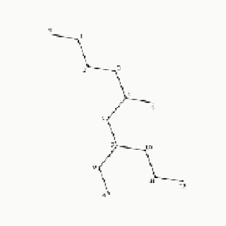 CCCCC(C)CC(CC)CCC